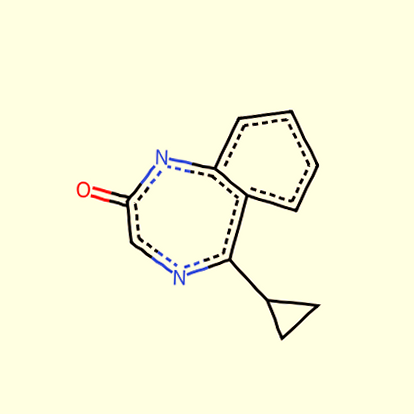 O=c1cnc(C2CC2)c2ccccc2n1